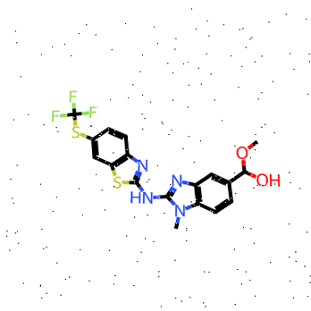 COC(O)c1ccc2c(c1)nc(Nc1nc3ccc(SC(F)(F)F)cc3s1)n2C